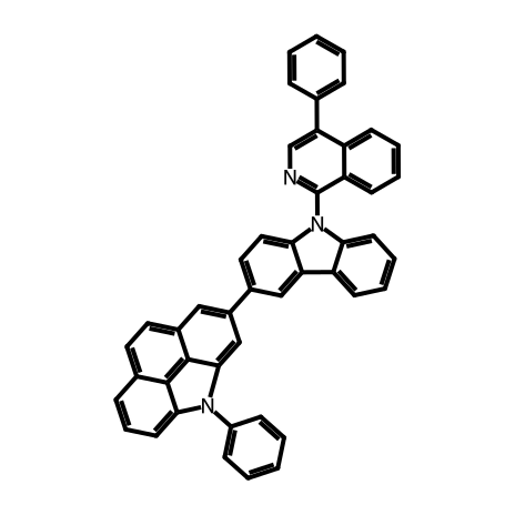 c1ccc(-c2cnc(-n3c4ccccc4c4cc(-c5cc6ccc7cccc8c7c6c(c5)n8-c5ccccc5)ccc43)c3ccccc23)cc1